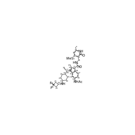 CSc1cc(C)[nH]c(=O)c1CNC(=O)c1c(C)n([C@H](C)C2CCC(NC3CC(F)(F)C3)CC2)c2cc(NC(C)=O)ccc12